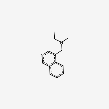 CCN(C)Cc1cncc2ccccc12